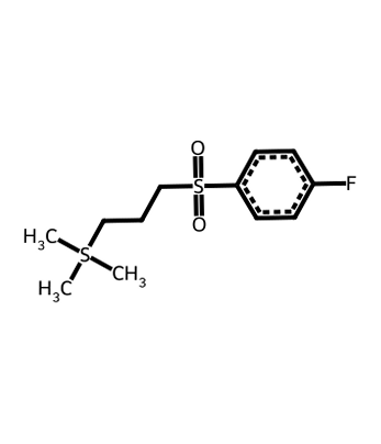 CS(C)(C)CCCS(=O)(=O)c1ccc(F)cc1